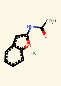 Cl.O=C(O)C(=O)Nc1cc2ccccc2o1